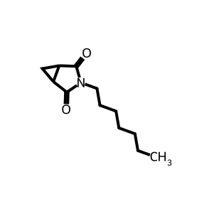 CCCCCCCN1C(=O)C2CC2C1=O